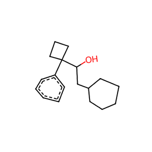 OC(CC1CCCCC1)C1(c2ccccc2)CCC1